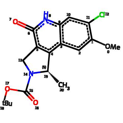 COc1cc2c3c(c(=O)[nH]c2cc1Cl)CN(C(=O)OC(C)(C)C)[C@H]3C